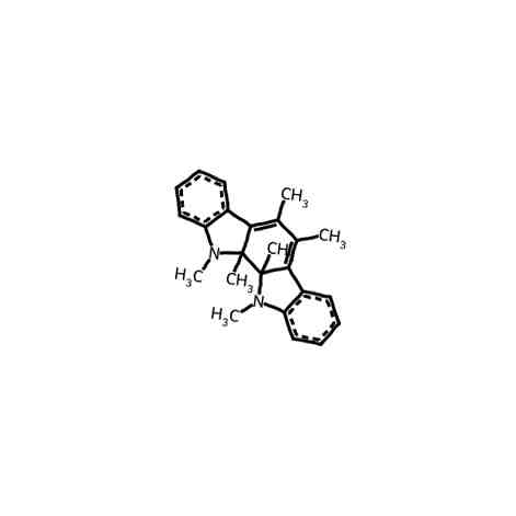 CC1=C2c3ccccc3N(C)C2(C)C2(C)C(=C1C)c1ccccc1N2C